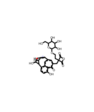 O=C1OC(=O)C1(CCOC1OC(CO)C(O)C(O)C1O)Cc1cc2cc3c(ccc(O)c3c1=O)C1C(O)C/C(=C/2)C1(O)O